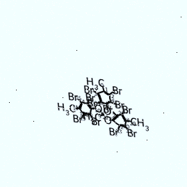 Cc1c(Br)c(Br)c(OC(C)(Oc2c(Br)c(Br)c(C)c(Br)c2Br)Oc2c(Br)c(Br)c(C)c(Br)c2Br)c(Br)c1Br